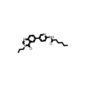 CCCCCC(=O)Nc1ccc(-c2ccc3ncn(CCC)c(=O)c3c2)cn1